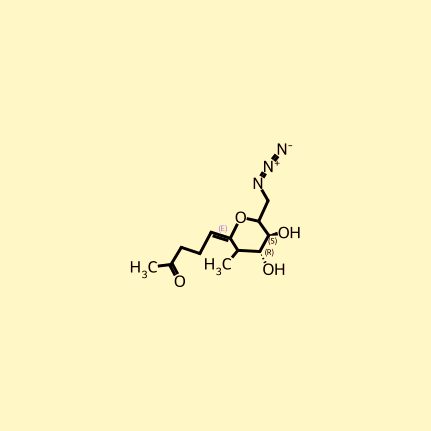 CC(=O)CC/C=C1/OC(CN=[N+]=[N-])[C@@H](O)[C@H](O)C1C